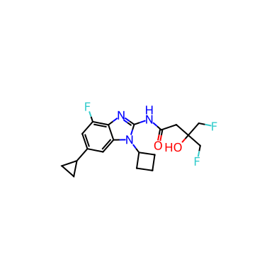 O=C(CC(O)(CF)CF)Nc1nc2c(F)cc(C3CC3)cc2n1C1CCC1